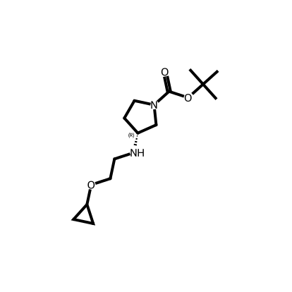 CC(C)(C)OC(=O)N1CC[C@@H](NCCOC2CC2)C1